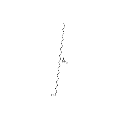 CCCCCCCCCCCCCCCCCCCCCCO.CN